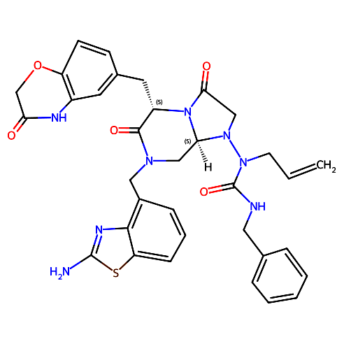 C=CCN(C(=O)NCc1ccccc1)N1CC(=O)N2[C@@H](Cc3ccc4c(c3)NC(=O)CO4)C(=O)N(Cc3cccc4sc(N)nc34)C[C@@H]21